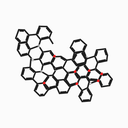 Cc1cccc(-c2ccccc2)c1B1c2ccccc2Oc2c1ccc1c2B(c2c(C)cccc2-c2cccc(-c3ccc4c(c3)Oc3c5c(c6c(c3B4c3ccccc3-c3ccccc3)Oc3ccccc3B6c3ccccc3-c3ccccc3)Oc3ccccc3B5c3ccccc3-c3ccccc3)c2)c2ccccc2O1